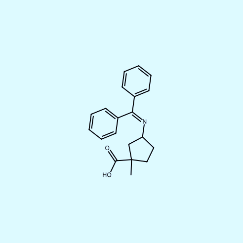 CC1(C(=O)O)CCC(N=C(c2ccccc2)c2ccccc2)C1